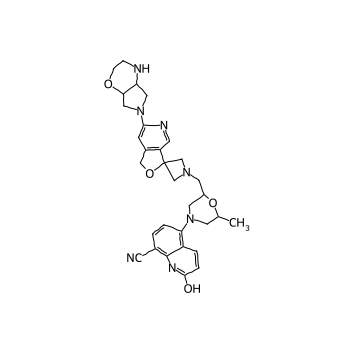 CC1CN(c2ccc(C#N)c3nc(O)ccc23)CC(CN2CC3(C2)OCc2cc(N4CC5NCCOC5C4)ncc23)O1